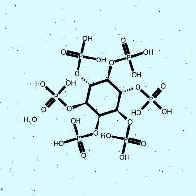 O.O=P(O)(O)O[C@H]1[C@H](OP(=O)(O)O)[C@@H](OP(=O)(O)O)[C@H](OP(=O)(O)O)[C@@H](OP(=O)(O)O)[C@H]1OP(=O)(O)O